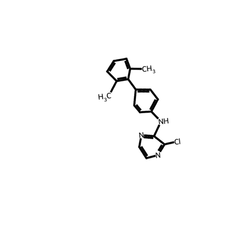 Cc1cccc(C)c1-c1ccc(Nc2nccnc2Cl)cc1